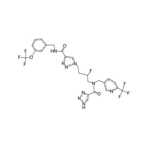 O=C(NCc1cccc(OC(F)(F)F)c1)c1cn(CCC(F)CN(Cc2ccc(C(F)(F)F)nc2)C(=O)c2c[nH]nn2)nn1